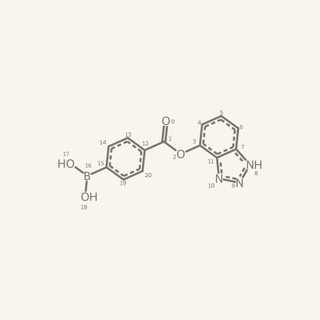 O=C(Oc1cccc2[nH]nnc12)c1ccc(B(O)O)cc1